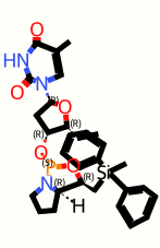 CC[C@H]1O[C@@H](n2cc(C)c(=O)[nH]c2=O)C[C@H]1O[P@]1O[C@@H](C[Si](C)(c2ccccc2)c2ccccc2)[C@H]2CCCN21